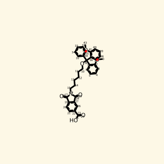 COc1ccccc1C(OCCCCCCN1C(=O)c2ccc(C(=O)O)cc2C1=O)(c1ccccc1)c1ccccc1OC